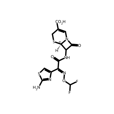 Nc1nc(C(=NOC(F)F)C(=O)NC2C(=O)N3C=C(C(=O)O)CS[C@H]23)cs1